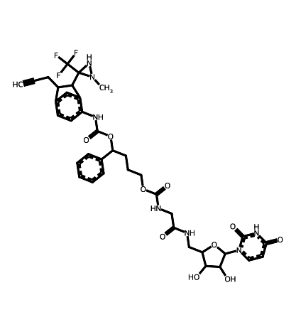 C#CCC1c2ccc(NC(=O)OC(CCCOC(=O)NCC(=O)NCC3OC(n4ccc(=O)[nH]c4=O)C(O)C3O)c3ccccc3)c(c2)C1C1(C(F)(F)F)NN1C